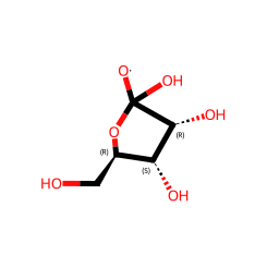 [O]C1(O)O[C@H](CO)[C@@H](O)[C@H]1O